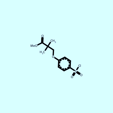 COC(=O)C(C)(C)COc1ccc(S(=O)(=O)Cl)cc1